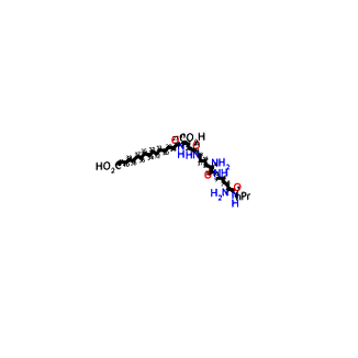 CCCNC(=O)[C@@H](N)CCCCNC(=O)[C@@H](N)CCCCNC(=O)CC[C@H](NC(=O)CCCCCCCCCCCCCCC(=O)O)C(=O)O